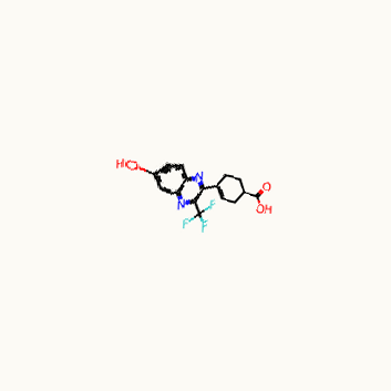 O=C(O)C1CC=C(c2nc3ccc(O)cc3nc2C(F)(F)F)CC1